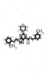 Cc1cccc(C=NNc2nc(N3CCOCC3)nc3c2ncn3CCc2ccccc2C)c1